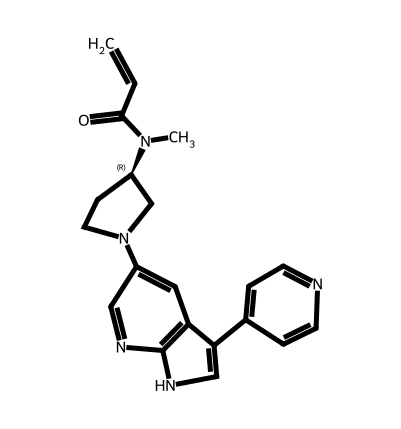 C=CC(=O)N(C)[C@@H]1CCN(c2cnc3[nH]cc(-c4ccncc4)c3c2)C1